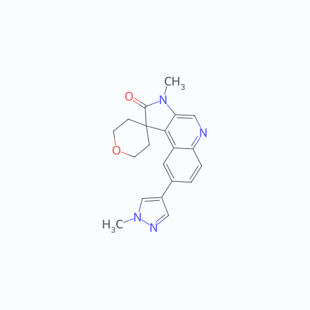 CN1C(=O)C2(CCOCC2)c2c1cnc1ccc(-c3cnn(C)c3)cc21